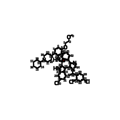 COCCOc1ccc(N2CCN(C3CCCCC3)CC2)c(NC(=O)c2[nH]c3cc(Cl)ccc3c2-c2c(-c3ccccc3)ncn2C(C)c2ccc(Cl)cc2Cl)c1